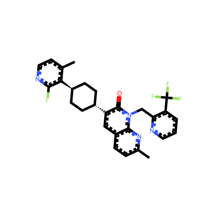 Cc1ccc2cc([C@H]3CC[C@H](c4c(C)ccnc4F)CC3)c(=O)n(Cc3ncccc3C(F)(F)F)c2n1